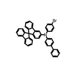 Brc1ccc(N(c2ccc(-c3ccccc3)cc2)c2ccc3c(c2)-c2ccccc2C32c3ccccc3-c3ccccc32)cc1